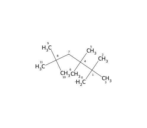 [CH2]C(C)(C)C(C)(C)CC(C)(C)C